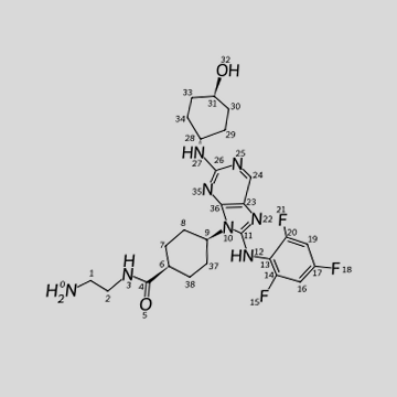 NCCNC(=O)[C@H]1CC[C@@H](n2c(Nc3c(F)cc(F)cc3F)nc3cnc(N[C@H]4CC[C@H](O)CC4)nc32)CC1